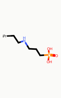 CC(C)CCNCCCP(=O)(O)O